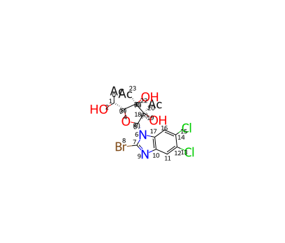 CC(=O)C(O)[C@H]1O[C@@H](n2c(Br)nc3cc(Cl)c(Cl)cc32)[C@@](O)(C(C)=O)[C@@]1(O)C(C)=O